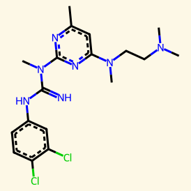 Cc1cc(N(C)CCN(C)C)nc(N(C)C(=N)Nc2ccc(Cl)c(Cl)c2)n1